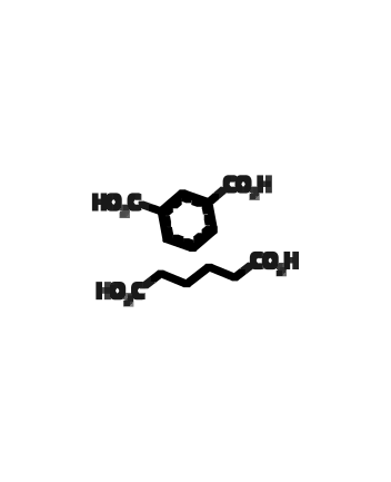 O=C(O)CCCCC(=O)O.O=C(O)c1cccc(C(=O)O)c1